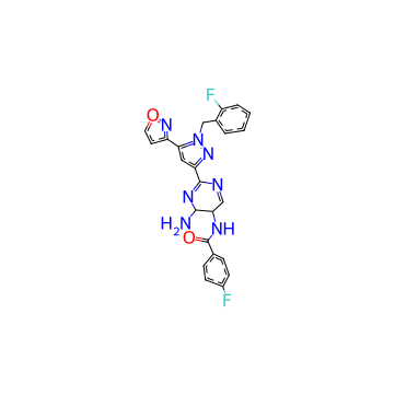 NC1N=C(c2cc(-c3ccon3)n(Cc3ccccc3F)n2)N=CC1NC(=O)c1ccc(F)cc1